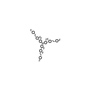 Fc1ccc(/C=C/c2ccc(-c3ccc(N(c4ccc(-c5ccc(/C=C/c6ccc(F)cc6)c(F)c5)c(F)c4)c4ccc(-c5ccc(/C=C/c6ccc(F)cc6)cc5F)c(F)c4)cc3F)c(F)c2)cc1